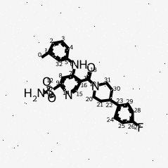 Cc1cccc(Nc2cc(S(N)(=O)=O)ncc2C(=O)N2CCC(c3ccc(F)cc3)CC2)c1